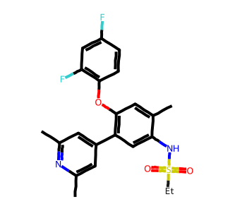 CCS(=O)(=O)Nc1cc(-c2cc(C)nc(C)c2)c(Oc2ccc(F)cc2F)cc1C